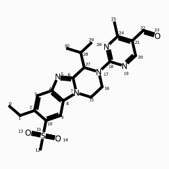 CCc1cc2nc3n(c2cc1S(C)(=O)=O)CCN(c1ncc(C=O)c(C)n1)C3C(C)C